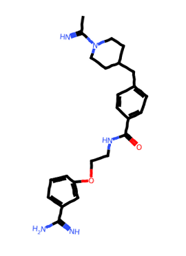 CC(=N)N1CCC(Cc2ccc(C(=O)NCCOc3cccc(C(=N)N)c3)cc2)CC1